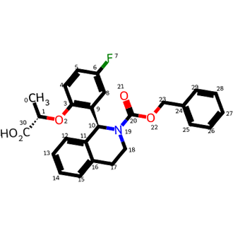 C[C@H](Oc1ccc(F)cc1[C@@H]1c2ccccc2CCN1C(=O)OCc1ccccc1)C(=O)O